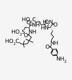 CC(C)(CC(=O)O)CC(C)(C)CC(=O)N[C@@H](CS(=O)(=O)O)C(=O)N[C@@H](CCC(=O)N[C@@H](CCCCNC(=O)c1ccc(N)cc1)C(N)=O)C(=O)O